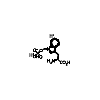 Cn1cc(C[C@@H](N)C(=O)O)c2ccccc21.O=P([O-])([O-])O.[H+].[H+]